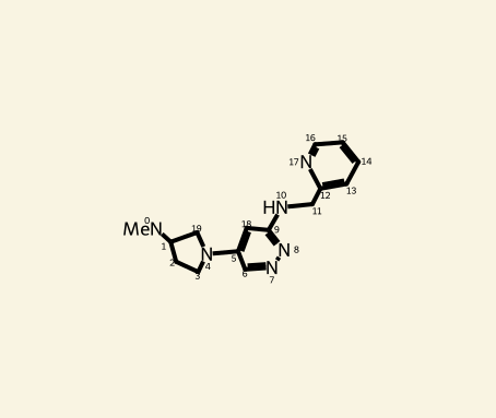 CNC1CCN(c2cnnc(NCc3ccccn3)c2)C1